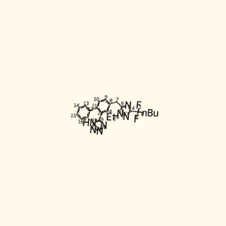 CCCCC(F)(F)c1nc(Cc2ccc(-c3ccccc3)c(-c3nnn[nH]3)c2)n(CC)n1